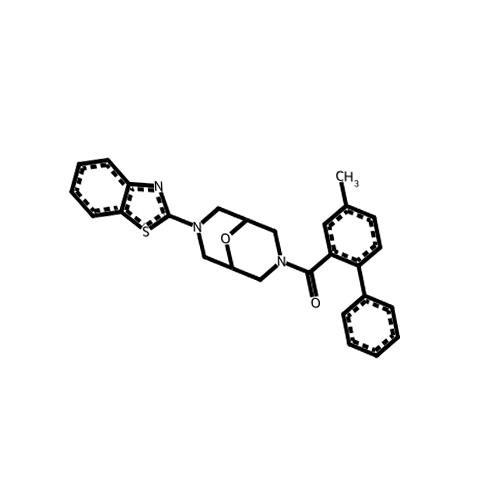 Cc1ccc(-c2ccccc2)c(C(=O)N2CC3CN(c4nc5ccccc5s4)CC(C2)O3)c1